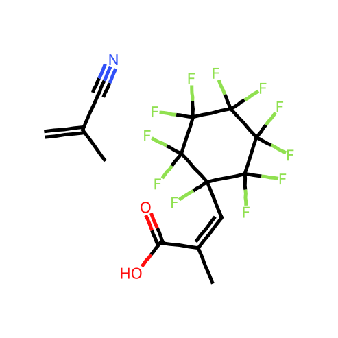 C=C(C)C#N.CC(=CC1(F)C(F)(F)C(F)(F)C(F)(F)C(F)(F)C1(F)F)C(=O)O